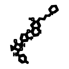 COc1cc2c(Oc3ccc(NC(=O)C4(C(=O)Nc5ccc(C)cc5)CC4)cc3F)ccnc2cc1CCCCN1CCCCC1